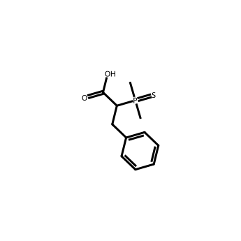 CP(C)(=S)C(Cc1ccccc1)C(=O)O